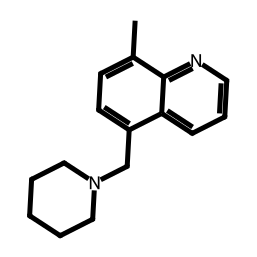 Cc1ccc(CN2CCCCC2)c2cccnc12